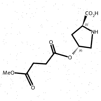 COC(=O)CCC(=O)O[C@H]1CN[C@H](C(=O)O)C1